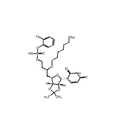 CCCCCCCCCCCCCCCCOC(CCOP(=O)(O)Oc1ccccc1Cl)C[C@H]1O[C@H](n2ccc(=O)[nH]c2=O)[C@@H]2OC(C)(C)O[C@@H]21